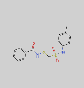 Cc1ccc(NS(=O)(=O)CSNC(=O)c2ccccc2)cc1